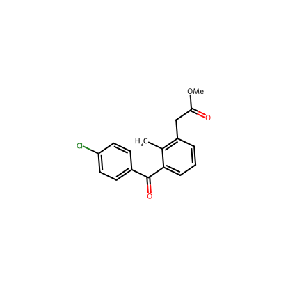 COC(=O)Cc1cccc(C(=O)c2ccc(Cl)cc2)c1C